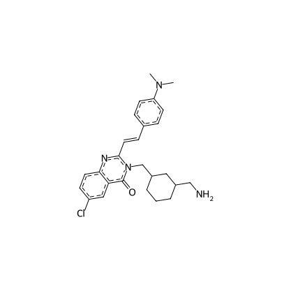 CN(C)c1ccc(C=Cc2nc3ccc(Cl)cc3c(=O)n2CC2CCCC(CN)C2)cc1